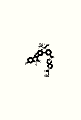 CC(C)(C)OC(=O)N1CCC2(CCN(C(=O)c3cccc(-c4cc5c(cc4N(CCF)S(C)(=O)=O)oc4c6ccc(F)cc6[nH]c(=O)c54)c3)C2)C1